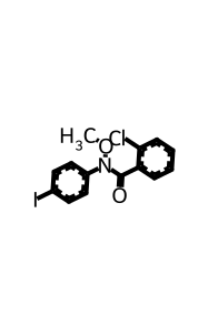 CON(C(=O)c1ccccc1Cl)c1ccc(I)cc1